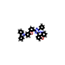 c1ccc(C2N=C(c3cccc4c3oc3ccc(-n5c6ccccc6c6ccccc65)cc34)N=C(c3cccc4oc5ccccc5c34)N2)cc1